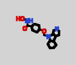 O=C(NO)c1ccc(OCn2c3ccccc3c3ccncc32)cc1